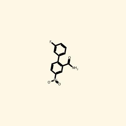 NC(=O)c1cc([N+](=O)[O-])ccc1-c1cccc(F)c1